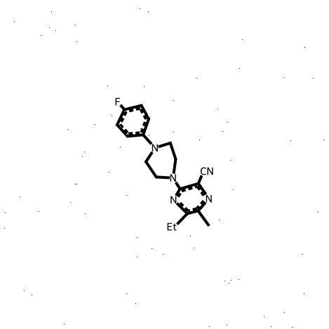 CCc1nc(N2CCN(c3ccc(F)cc3)CC2)c(C#N)nc1C